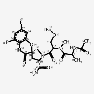 CC(NC(=O)C(F)(F)F)C(=O)N(C)C(COC(C)(C)C)C(=O)N1C[C@@]2(C[C@H]1C(N)=O)Oc1cc(F)cc(F)c1NC2=O